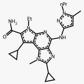 CCCn1nc(Nc2nc3c(c(C4CC4)c(C(N)=O)n3CC)c3c2nc(C2CC2)n3C)cc1C